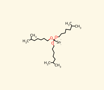 CC(C)CCCCCO[C]([Sn])(OCCCCCC(C)C)OCCCCCC(C)C